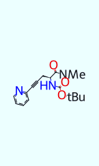 CNC(=O)[C@H](CC#Cc1ccccn1)NC(=O)OC(C)(C)C